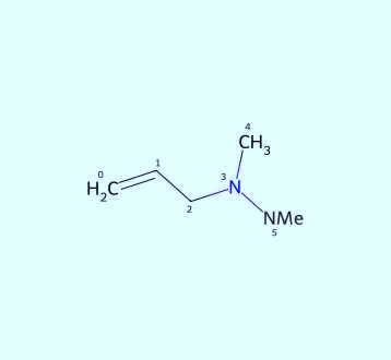 C=CCN(C)NC